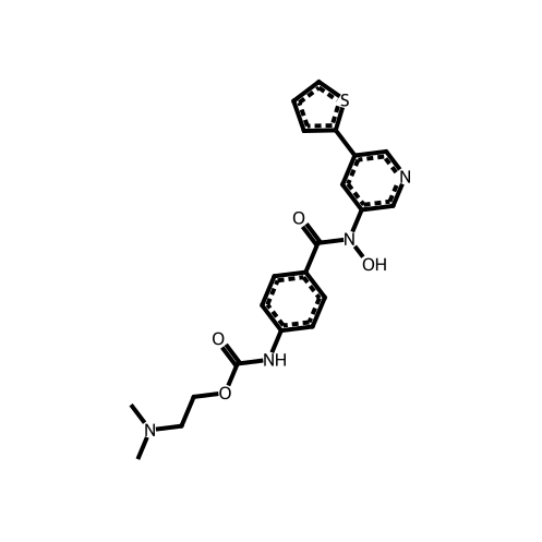 CN(C)CCOC(=O)Nc1ccc(C(=O)N(O)c2cncc(-c3cccs3)c2)cc1